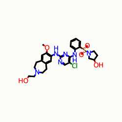 COc1cc2c(cc1Nc1ncc(Cl)c(Nc3ccccc3S(=O)(=O)N3CCC(O)C3)n1)CCN(CCO)CC2